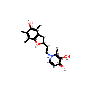 Cc1c(C)c2c(c(C)c1O)CC(CCn1ccc(=O)c(O)c1C)O2